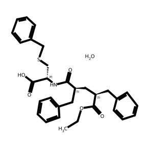 CCOC(=O)[C@H](Cc1ccccc1)C[C@@H](Cc1ccccc1)C(=O)N[C@@H](CSCc1ccccc1)C(=O)O.O